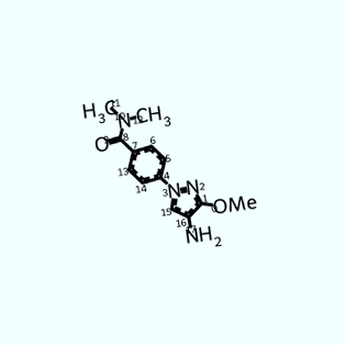 COc1nn(-c2ccc(C(=O)N(C)C)cc2)cc1N